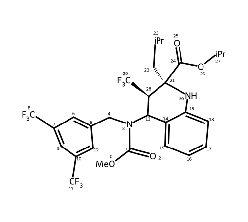 COC(=O)N(Cc1cc(C(F)(F)F)cc(C(F)(F)F)c1)C1c2ccccc2N[C@](CC(C)C)(C(=O)OC(C)C)[C@@H]1C(F)(F)F